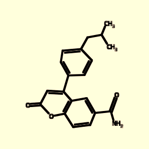 CC(C)Cc1ccc(-c2cc(=O)oc3ccc(C(N)=O)cc23)cc1